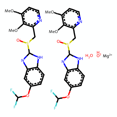 COc1ccnc(C[S+]([O-])C2[N-]c3cc(OC(F)F)ccc3N2)c1OC.COc1ccnc(C[S+]([O-])C2[N-]c3cc(OC(F)F)ccc3N2)c1OC.O.O.[Mg+2]